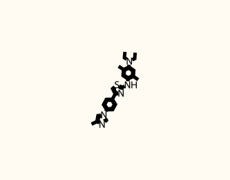 CCN(CC)c1cc(C)c(Nc2nc(-c3ccc(-n4cnc(C)c4)cc3)cs2)cc1C